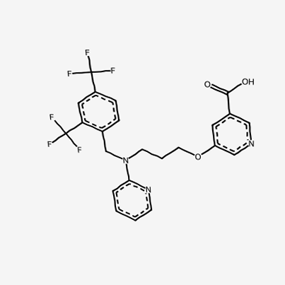 O=C(O)c1cncc(OCCCN(Cc2ccc(C(F)(F)F)cc2C(F)(F)F)c2ccccn2)c1